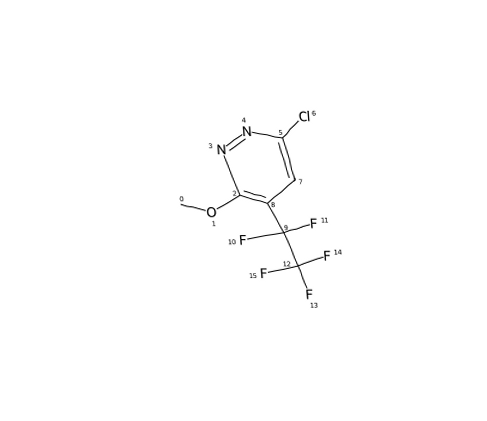 COc1nnc(Cl)cc1C(F)(F)C(F)(F)F